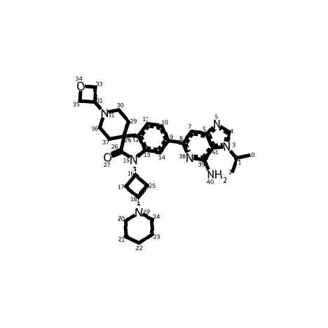 CC(C)n1cnc2cc(-c3ccc4c(c3)N([C@H]3C[C@@H](N5CCCCC5)C3)C(=O)C43CCN(C4COC4)CC3)nc(N)c21